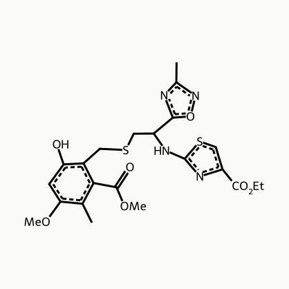 CCOC(=O)c1csc(NC(CSCc2c(O)cc(OC)c(C)c2C(=O)OC)c2nc(C)no2)n1